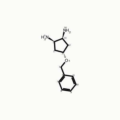 N[C@@H]1C[C@@H](OCc2ccccc2)C[C@@H]1N